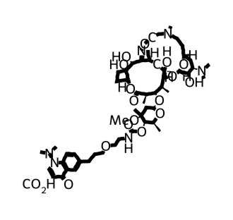 CO[C@]1(C)C[C@H](O[C@H]2[C@H](C)[C@H]3O[C@@H]4O[C@H](CCN(C)CCO/N=C(\[C@H](C)C[C@@]3(C)O)[C@@H](O)[C@@]3(O)CC[C@H]3OC(=O)[C@@H]2C)C[C@H](N(C)C)[C@H]4O)O[C@@H](C)[C@@H]1OC(=O)NCCOCCCc1ccc2c(c1)c(=O)c(C(=O)O)cn2N(C)C